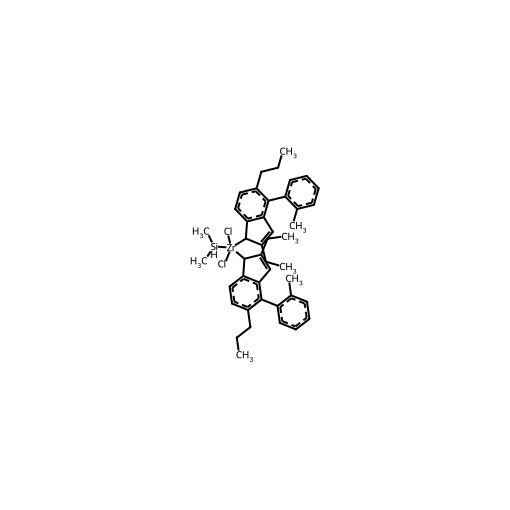 CCCc1ccc2c(c1-c1ccccc1C)C=C(CC)[CH]2[Zr]([Cl])([Cl])([CH]1C(CC)=Cc2c1ccc(CCC)c2-c1ccccc1C)[SiH](C)C